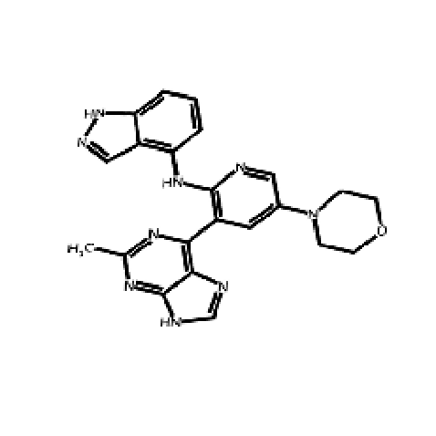 Cc1nc(-c2cc(N3CCOCC3)cnc2Nc2cccc3[nH]ncc23)c2nc[nH]c2n1